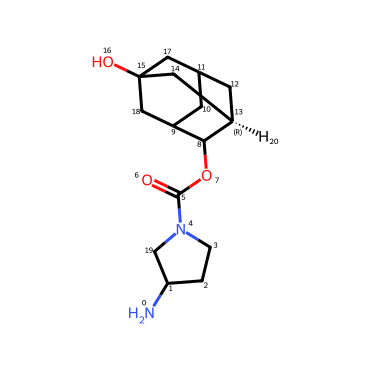 NC1CCN(C(=O)OC2C3CC4C[C@@H]2CC(O)(C4)C3)C1